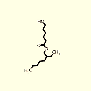 CCCCCC(CC)COC(=O)CCCCCO